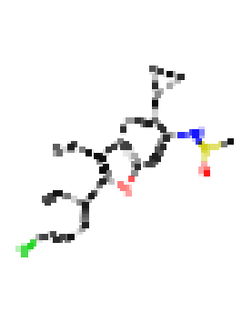 C[S+]([O-])Nc1cc2oc(-c3ccc(Cl)cc3)c(C=O)c2cc1C1CC1